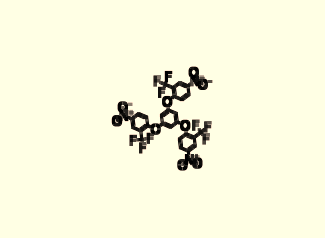 O=[N+]([O-])c1ccc(Oc2cc(Oc3ccc([N+](=O)[O-])cc3C(F)(F)F)cc(Oc3ccc([N+](=O)[O-])cc3C(F)(F)F)c2)c(C(F)(F)F)c1